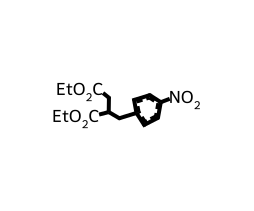 CCOC(=O)CC(Cc1ccc([N+](=O)[O-])cc1)C(=O)OCC